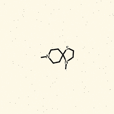 CN1CCC2(CC1)SCCN2C